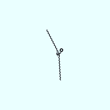 CCCCCCCCCCCCCCCCCCCN1C=CN(CCCCCCCCCCCCCCCCCCC)C1Cc1ccccc1